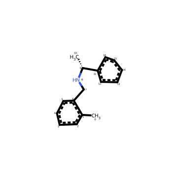 Cc1ccccc1CN[C@H](C)c1ccccc1